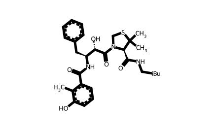 CCC(C)CNC(=O)[C@H]1N(C(=O)[C@@H](O)[C@H](Cc2ccccc2)NC(=O)c2cccc(O)c2C)CSC1(C)C